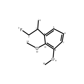 [CH2]C(CF)c1cccc(OC)c1OC